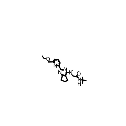 CCOCc1cccc(-c2nc3c(c(N(C)CC(=O)NC(C)(C)C)n2)CCC3)n1